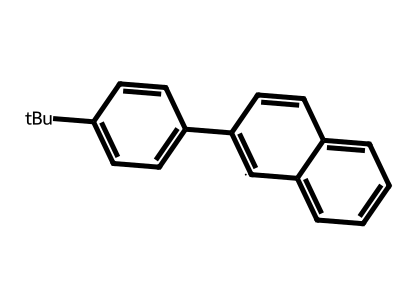 CC(C)(C)c1ccc(-c2[c]c3ccccc3cc2)cc1